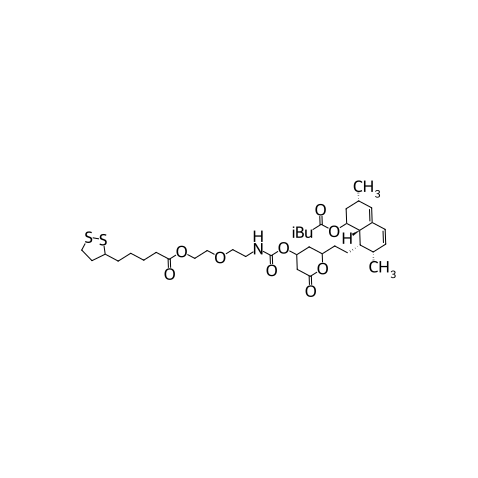 CCC(C)C(=O)OC1C[C@H](C)C=C2C=C[C@H](C)[C@H](CCC3CC(OC(=O)NCCOCCOC(=O)CCCCC4CCSS4)CC(=O)O3)[C@@H]21